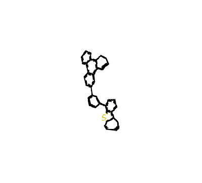 C1=C=C(c2ccc3c(c2)c2c(c4ccccc43)CCC=C2)C=C(c2cccc3c4c(sc23)C=CC#CC4)C=1